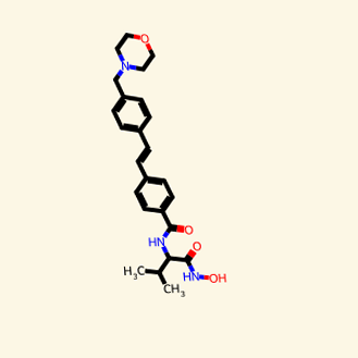 CC(C)C(NC(=O)c1ccc(/C=C/c2ccc(CN3CCOCC3)cc2)cc1)C(=O)NO